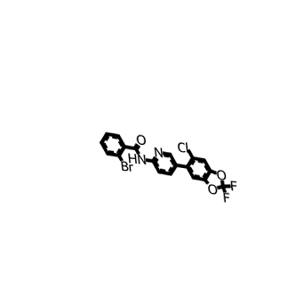 O=C(Nc1ccc(-c2cc3c(cc2Cl)OC(F)(F)O3)cn1)c1ccccc1Br